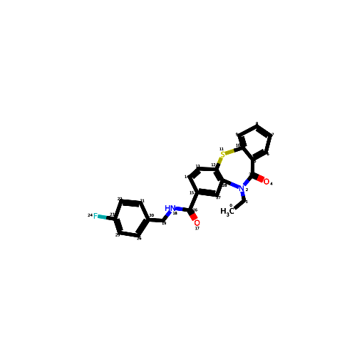 CCN1C(=O)c2ccccc2Sc2ccc(C(=O)NCc3ccc(F)cc3)cc21